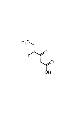 CCC(I)C(=O)CC(=O)O